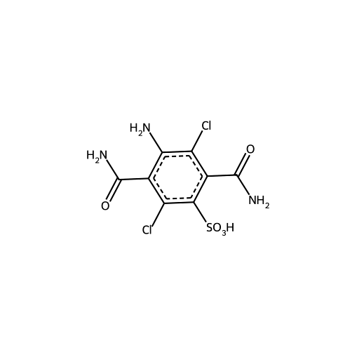 NC(=O)c1c(N)c(Cl)c(C(N)=O)c(S(=O)(=O)O)c1Cl